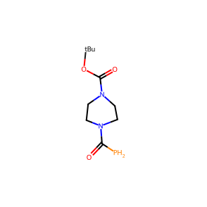 CC(C)(C)OC(=O)N1CCN(C(=O)P)CC1